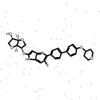 O[C@@H]1CO[C@H]2[C@@H]1OC[C@H]2Oc1cc2nc(-c3ccc(-c4ccc(OC5CCOCC5)cc4)cc3)c(F)cc2[nH]1